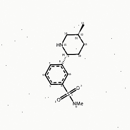 CNS(=O)(=O)c1cccc([C@H]2CC[C@H](C)CN2)c1